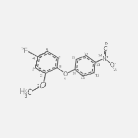 COc1cc(F)ccc1Oc1ccc([N+](=O)[O-])cc1